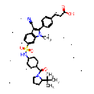 Cn1c(-c2ccc(CCC(=O)O)cc2)c(C#N)c2ccc(S(=O)(=O)NC3CCC(C(=O)N4CCCC4C(C)(C)C)CC3)cc21